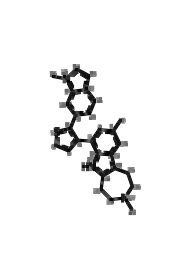 Cc1cc(-c2ccsc2-c2ccc3ccn(C)c3c2)c2[nH]c3c(c2c1)CCN(C)CC3